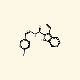 C=Cc1c(C(=O)N/N=C\c2ccc(F)cc2)[nH]c2ccccc12